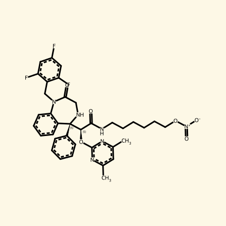 Cc1cc(C)nc(O[C@H](C(=O)NCCCCCCO[N+](=O)[O-])[C@@]2(c3ccccc3)NCC(=O)N(Cc3c(F)cc(F)cc3F)c3ccccc32)n1